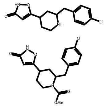 COC(=O)N1CCC(c2cc(=O)[nH]o2)CC1Cc1ccc(Cl)cc1.O=c1cc(C2CCNC(Cc3ccc(Cl)cc3)C2)o[nH]1